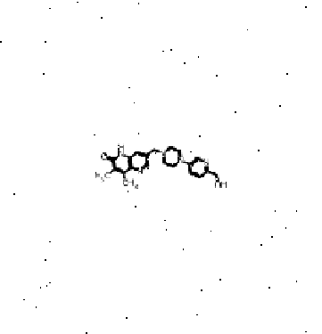 Cc1c(C)c2ncc(CN3CCN(c4ccc(CO)nc4)CC3)cc2[nH]c1=O